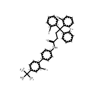 O=C(CCC(c1ccccc1F)(c1ccccc1F)c1ccccc1F)Nc1ccc(-c2ccc(C(O)(C(F)(F)F)C(F)(F)F)cc2F)cc1